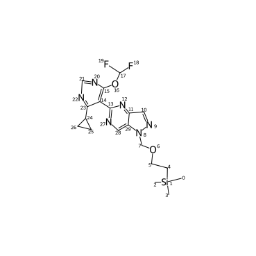 C[Si](C)(C)CCOCn1ncc2nc(-c3c(OC(F)F)ncnc3C3CC3)ncc21